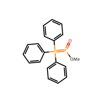 COP(=O)=P(c1ccccc1)(c1ccccc1)c1ccccc1